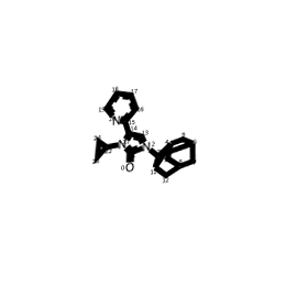 O=c1n(C2C3CC4CC(C3)CC2C4)cc(-c2ccccn2)n1C1CC1